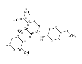 COC1CCC(Nc2ncc(C(N)=O)c(NC3COCC(O)C3)n2)CC1